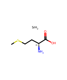 CSCC[C@H](N)C(=O)O.[SrH2]